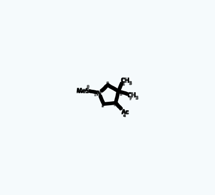 CSN1CC(C(C)=O)C(C)(C)C1